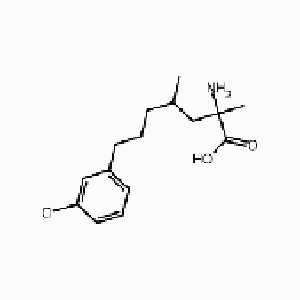 CC(CCCc1cccc(Cl)c1)CC(C)(N)C(=O)O